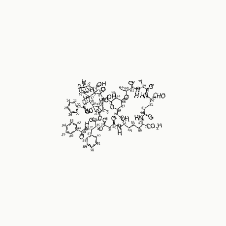 CC1=C2[C@@H](O)C(=O)C3(C)[C@@H](O)C[C@H]4OC[C@@]4(O)[C@H]3[C@H](OC(=O)c3ccccc3)[C@](O)(C[C@@H]1OC(=O)[C@H](OC(=O)CC(=O)NCCCCC(NC(=O)CC[C@@H](C=O)NC(=O)[C@H](C)NC(=O)C(C)OC1CC(CO)OC(O)C1C)C(=O)O)[C@@H](NC(=O)c1ccccc1)c1ccccc1)C2(C)C